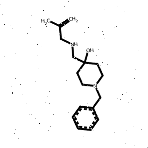 C=C(C)CNCC1(O)CCN(Cc2ccccc2)CC1